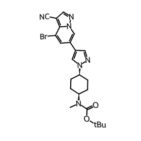 CN(C(=O)OC(C)(C)C)[C@H]1CC[C@@H](n2cc(-c3cc(Br)c4c(C#N)cnn4c3)cn2)CC1